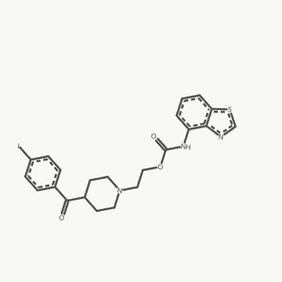 O=C(Nc1cccc2scnc12)OCCN1CCC(C(=O)c2ccc(I)cc2)CC1